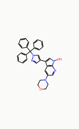 On1cc(-c2cnn(C(c3ccccc3)(c3ccccc3)c3ccccc3)c2)c2cc(N3CCOCC3)cnc21